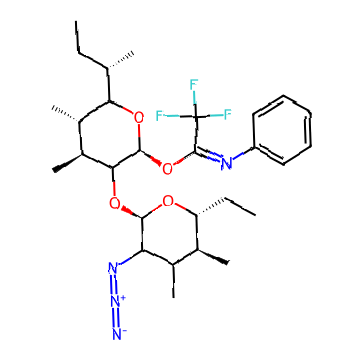 CC[C@H](C)C1O[C@@H](O/C(=N/c2ccccc2)C(F)(F)F)C(O[C@H]2O[C@H](CC)[C@@H](C)C(C)C2N=[N+]=[N-])[C@@H](C)[C@@H]1C